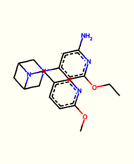 CCOc1cc(N2CC3CC(C2)N3Cc2ccc(OC)nc2)[c]c(N)n1